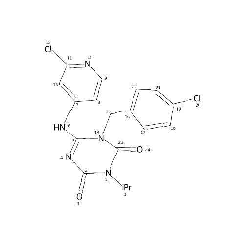 CC(C)n1c(=O)nc(Nc2ccnc(Cl)c2)n(Cc2ccc(Cl)cc2)c1=O